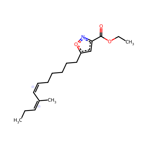 CC/C=C(C)\C=C/CCCCCc1cc(C(=O)OCC)no1